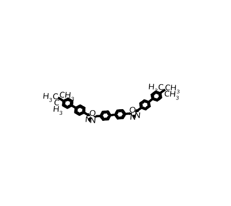 CC(C)(C)c1ccc(-c2ccc(-c3nnc(-c4ccc(-c5ccc(-c6nnc(-c7ccc(-c8ccc(C(C)(C)C)cc8)cc7)o6)cc5)cc4)o3)cc2)cc1